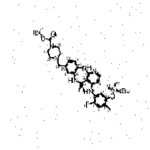 Cc1cc(F)c(Nc2ccnc3c2C(=O)Nc2cc(CN4CCN(C(=O)OC(C)(C)C)CC4)ccc2N3)cc1O[Si](C)(C)C(C)(C)C